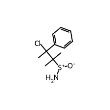 CC(Cl)(c1ccccc1)C(C)(C)[S+](N)[O-]